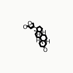 C[C@]12CCC(=O)C[C@@H]1CC[C@@H]1[C@@H]2CC[C@]2(C)[C@@H](C3=CC(=O)OC3)CC[C@@H]12